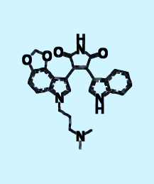 CN(C)CCCn1cc(C2=C(c3c[nH]c4ccccc34)C(=O)NC2=O)c2c3c(ccc21)OCO3